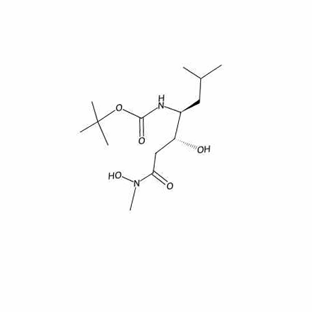 CC(C)C[C@H](NC(=O)OC(C)(C)C)[C@H](O)CC(=O)N(C)O